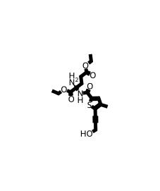 CCOC(=O)CC[C@@](N)(NC(=O)c1cc(C)c(C#CCO)s1)C(=O)OCC